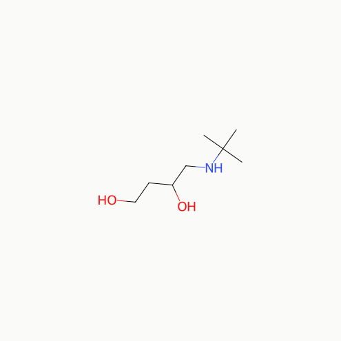 CC(C)(C)NCC(O)CCO